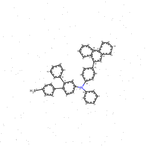 Bc1ccc(-c2ccc(N(c3ccccc3)c3ccc(-c4cc5ccccc5c5ccccc45)cc3)cc2-c2ccccc2)cc1